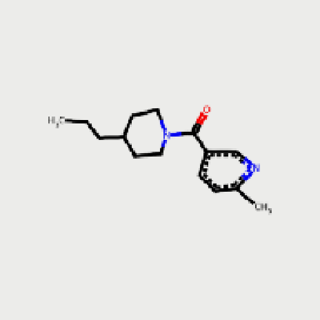 CCCC1CCN(C(=O)c2ccc(C)nc2)CC1